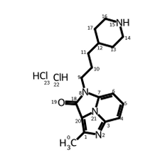 Cc1nc2cccc3n(CCCC4CCNCC4)c(=O)c1n23.Cl.Cl